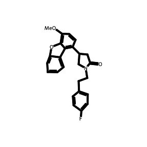 COc1ccc(C2CC(=O)N(CCc3ccc(F)cc3)C2)c2c1oc1ccccc12